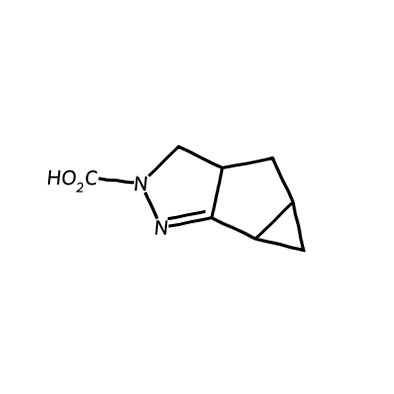 O=C(O)N1CC2CC3CC3C2=N1